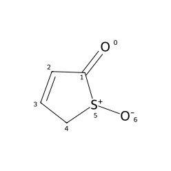 O=C1C=CC[S+]1[O-]